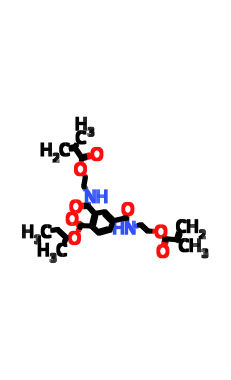 C=C(C)C(=O)OCCNC(=O)c1ccc(C(=O)OC(C)CC)c(C(=O)NCCOC(=O)C(=C)C)c1